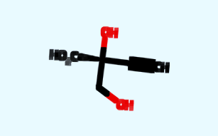 C#C[C@@](O)(CO)C(=O)O